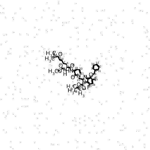 COC(=O)N[C@@H](CC/C=C/C(=O)N(C)C)C(=O)Nc1cccn(Cc2nc3c(OCc4ccccc4)c(F)cc(F)c3n2C(=O)OC(C)(C)C)c1=O